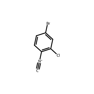 [C-]#[N+]c1ccc(Br)cc1Cl